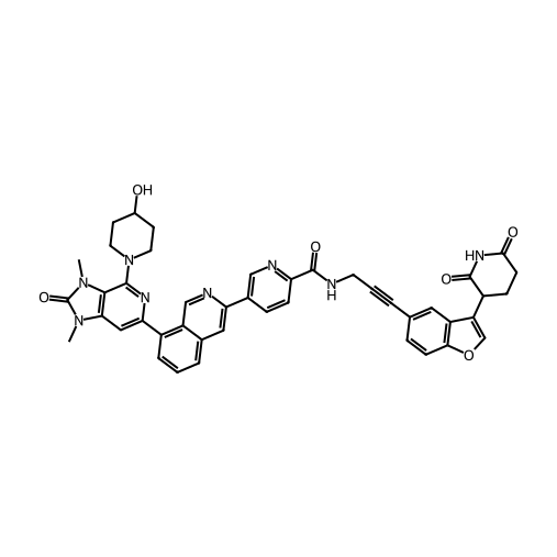 Cn1c(=O)n(C)c2c(N3CCC(O)CC3)nc(-c3cccc4cc(-c5ccc(C(=O)NCC#Cc6ccc7occ(C8CCC(=O)NC8=O)c7c6)nc5)ncc34)cc21